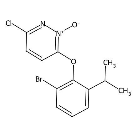 CC(C)c1cccc(Br)c1Oc1ccc(Cl)n[n+]1[O-]